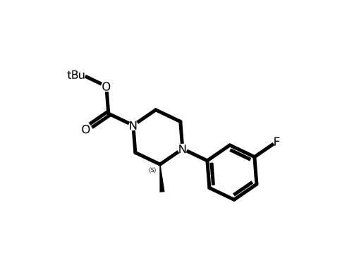 C[C@H]1CN(C(=O)OC(C)(C)C)CCN1c1cccc(F)c1